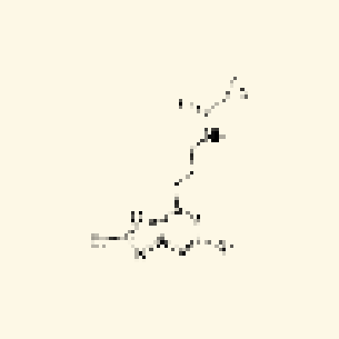 CCc1nc2cc(Br)cc(CCCNC(=O)C3CC3)c2o1